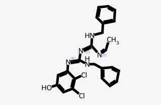 C\C=N/C(=N\C(=N\c1cc(O)cc(Cl)c1Cl)NCc1ccccc1)NCc1ccccc1